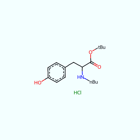 CCCCNC(Cc1ccc(O)cc1)C(=O)OC(C)(C)C.Cl